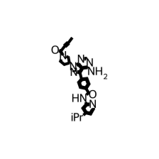 CC#CC(=O)N1CCC(n2nc(-c3ccc(C(=O)Nc4cc(C(C)C)ccn4)cc3)c3c(N)ncnc32)C1